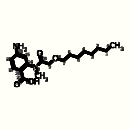 CCCCCCCCOCC(=O)N(C)c1cc(N)ccc1C(=O)O